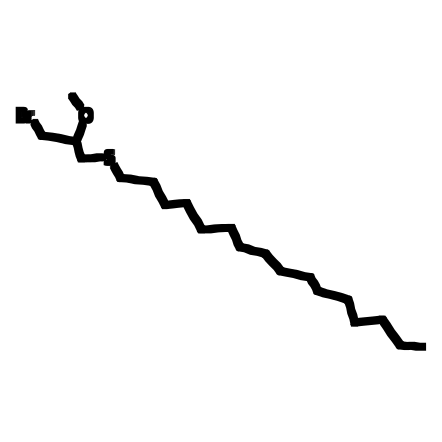 CCCCCCCCCCCCCCCCSCC(CBr)OC